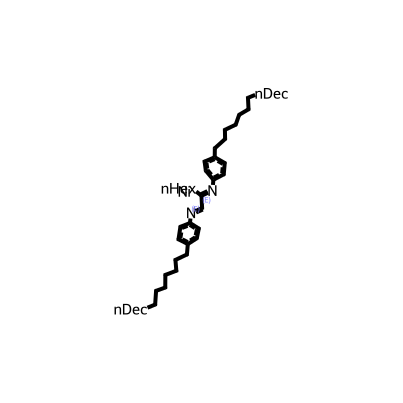 CCCCCCCCCCCCCCCCCc1ccc(/N=C/C(CCCCCC)=N/c2ccc(CCCCCCCCCCCCCCCCC)cc2)cc1.[Ni]